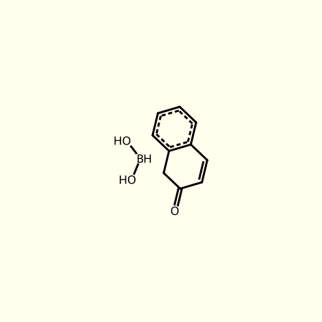 O=C1C=Cc2ccccc2C1.OBO